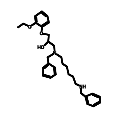 CCOc1ccccc1OCC(O)CN(CCCCCCNCc1ccccc1)Cc1ccccc1